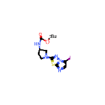 CC(C)(C)OC(=O)NC1CCN(c2nn3c(I)cnc3s2)C1